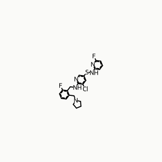 Fc1cccc(NSc2cnc(NCc3c(F)cccc3CN3CCCC3)c(Cl)c2)n1